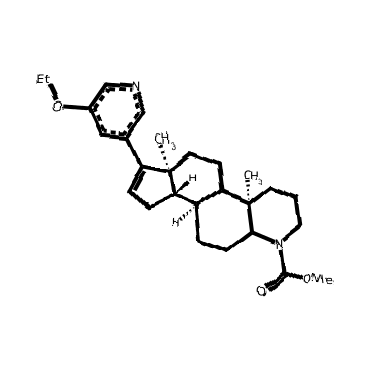 CCOc1cncc(C2=CC[C@H]3[C@@H]4CCC5N(C(=O)OC)CCC[C@]5(C)C4CC[C@]23C)c1